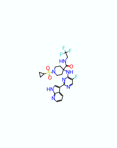 O=C(NCC(F)(F)F)C1(Nc2nc(-c3c[nH]c4ncccc34)ncc2F)CCN(S(=O)(=O)C2CC2)CC1